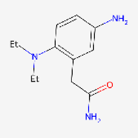 CCN(CC)c1ccc(N)cc1CC(N)=O